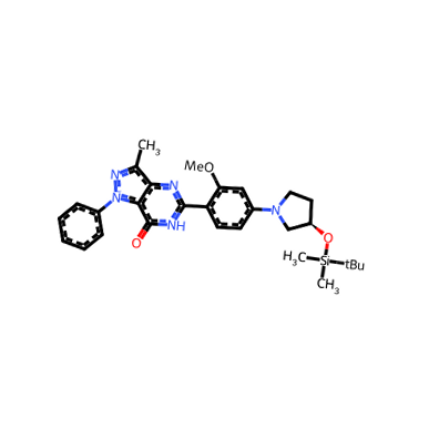 COc1cc(N2CC[C@@H](O[Si](C)(C)C(C)(C)C)C2)ccc1-c1nc2c(C)nn(-c3ccccc3)c2c(=O)[nH]1